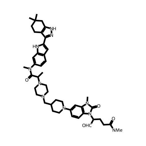 CNC(=O)CCC(C=O)n1c(=O)n(C)c2cc(N3CCC(CN4CCN(C(C)C(=O)N(C)c5ccc6cc(-c7n[nH]c8c7CCC(C)(C)C8)[nH]c6c5)CC4)CC3)ccc21